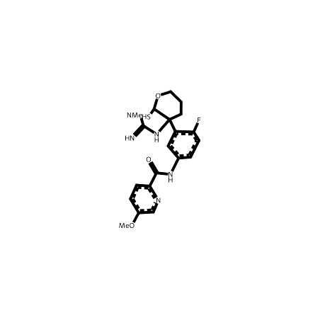 CNC(=N)NC1(c2cc(NC(=O)c3ccc(OC)cn3)ccc2F)CCCOC1S